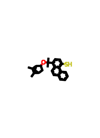 CC1C2CC(OC(C)(C)c3ccc(S)c4c3ccc3ccccc34)C(C2)C1C